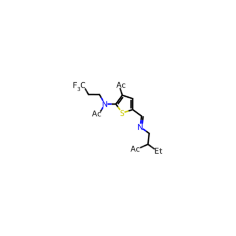 CCC(C/N=C/c1cc(C(C)=O)c(N(CCC(F)(F)F)C(C)=O)s1)C(C)=O